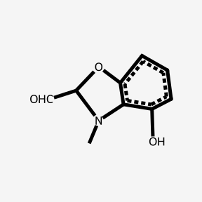 CN1c2c(O)cccc2OC1C=O